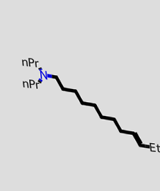 CC/C=C/CCCCCCCCN(CCC)CCC